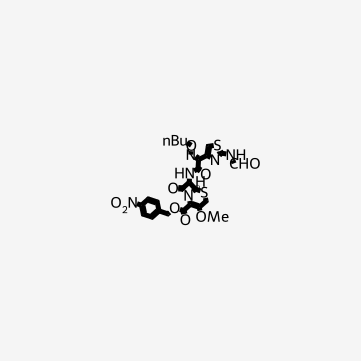 CCCCON=C(C(=O)NC1C(=O)N2C(C(=O)OCc3ccc([N+](=O)[O-])cc3)=C(OC)CS[C@@H]12)c1csc(NC=O)n1